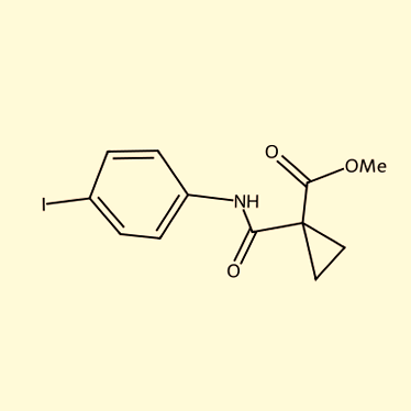 COC(=O)C1(C(=O)Nc2ccc(I)cc2)CC1